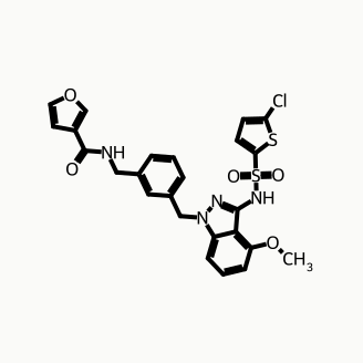 COc1cccc2c1c(NS(=O)(=O)c1ccc(Cl)s1)nn2Cc1cccc(CNC(=O)c2ccoc2)c1